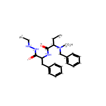 CC(C)CNNC(=O)C(Cc1ccccc1)NC(=O)C(CC(C)C)N(Cc1ccccc1)C(=O)O